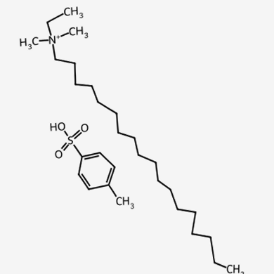 CCCCCCCCCCCCCCCCCC[N+](C)(C)CC.Cc1ccc(S(=O)(=O)O)cc1